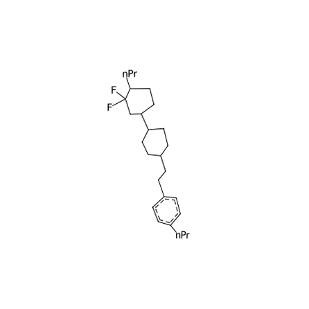 CCCc1ccc(CCC2CCC(C3CCC(CCC)C(F)(F)C3)CC2)cc1